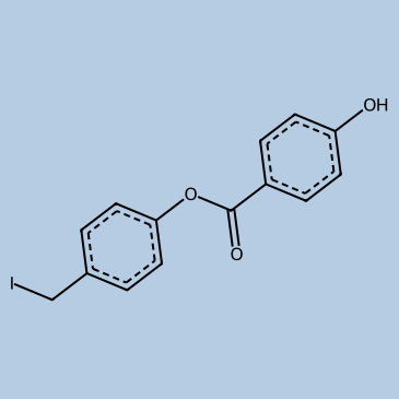 O=C(Oc1ccc(CI)cc1)c1ccc(O)cc1